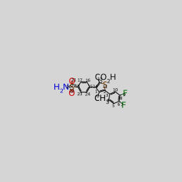 Cc1c(-c2ccc(F)c(F)c2)sc(C(=O)O)c1-c1ccc(S(N)(=O)=O)cc1